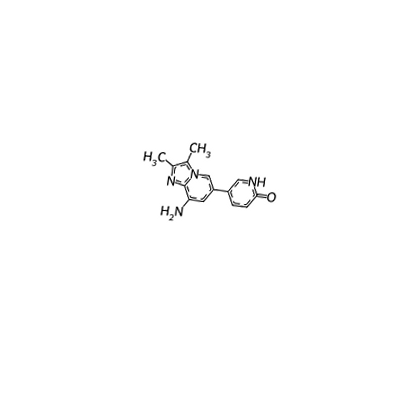 Cc1nc2c(N)cc(-c3ccc(=O)[nH]c3)cn2c1C